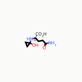 NC(=O)CC[C@H](NC1(O)CC1)C(=O)O